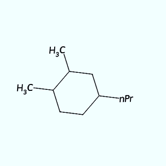 CCCC1CCC(C)C(C)C1